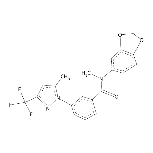 Cc1cc(C(F)(F)F)nn1-c1cccc(C(=O)N(C)c2ccc3c(c2)OCO3)c1